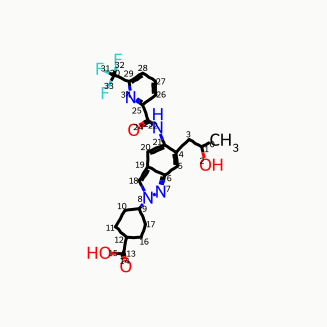 CC(O)Cc1cc2nn(C3CCC(C(=O)O)CC3)cc2cc1NC(=O)c1cccc(C(F)(F)F)n1